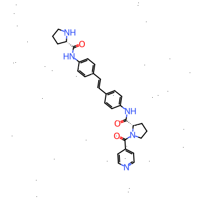 O=C(Nc1ccc(/C=C/c2ccc(NC(=O)[C@@H]3CCCN3C(=O)c3ccncc3)cc2)cc1)[C@@H]1CCCN1